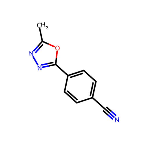 Cc1nnc(-c2ccc(C#N)cc2)o1